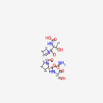 CC(O)C(NC(=O)O)C(=O)N1CCC[C@H]1C(=O)N1CCC[C@H]1C(=O)N[C@@H](CO)C(=O)ON